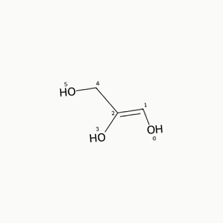 OC=C(O)CO